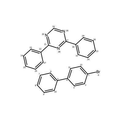 Brc1ccc(-c2ccccc2)cc1.c1ccc(-c2ncnc(-c3ccccc3)n2)cc1